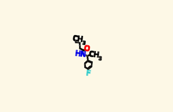 CCCCC(=O)NC(C)C1=CC=C(F)CC1